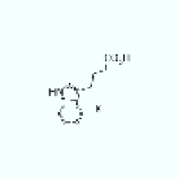 O=C(O)CCCc1c[nH]c2ccccc12.[K]